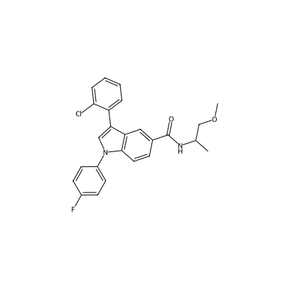 COCC(C)NC(=O)c1ccc2c(c1)c(-c1ccccc1Cl)cn2-c1ccc(F)cc1